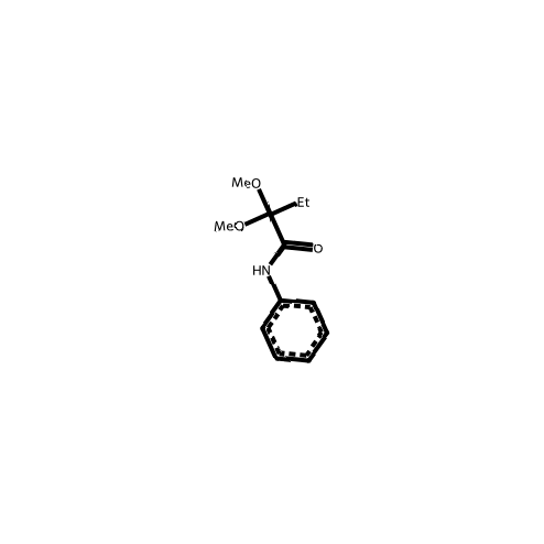 CCC(OC)(OC)C(=O)Nc1ccccc1